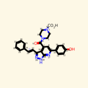 O=C(O)N1CCN(C(=O)c2cc(-c3ccc(O)cc3)nc3[nH]nc(/C=C/c4ccccc4)c23)CC1